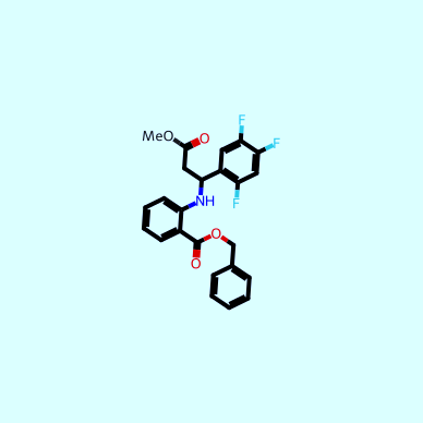 COC(=O)CC(Nc1ccccc1C(=O)OCc1ccccc1)c1cc(F)c(F)cc1F